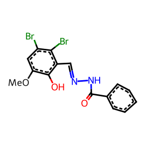 COc1cc(Br)c(Br)c(C=NNC(=O)c2ccccc2)c1O